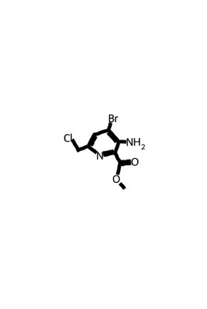 COC(=O)c1nc(CCl)cc(Br)c1N